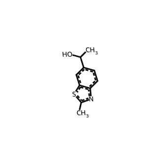 Cc1nc2ccc(C(C)O)cc2s1